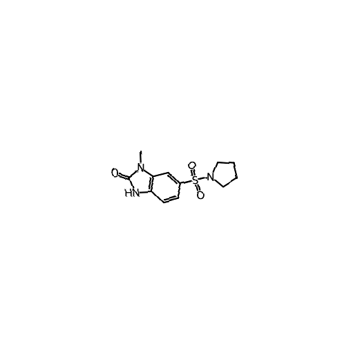 Cn1c(=O)[nH]c2ccc(S(=O)(=O)N3CCCC3)cc21